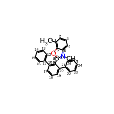 Cc1cccc2c1OB(c1c(-c3ccccc3)cccc1-c1ccccc1)N2C